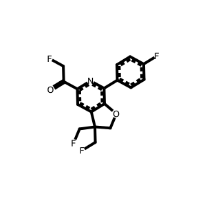 O=C(CF)c1cc2c(c(-c3ccc(F)cc3)n1)OCC2(CF)CF